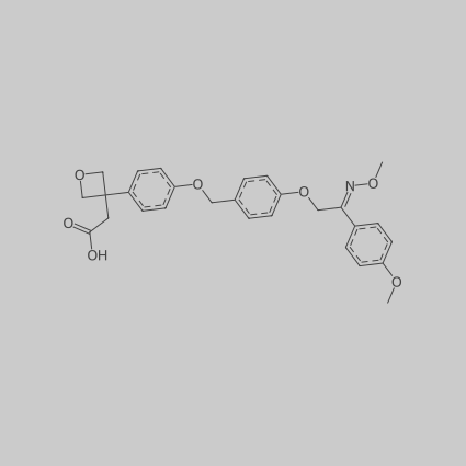 CON=C(COc1ccc(COc2ccc(C3(CC(=O)O)COC3)cc2)cc1)c1ccc(OC)cc1